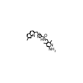 Cc1ccc2ccc(Cn3cc(C(=O)NCc4c(C)cc(N)nc4C)cn3)nc2c1